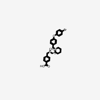 CN(Cc1ccc(C(=O)O)cc1)C[C@@H]1CCCCN1Cc1ccc(Oc2ccc(Br)cc2)cc1